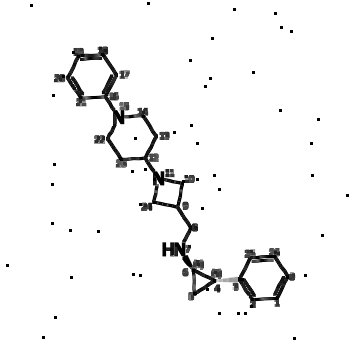 c1ccc([C@@H]2C[C@H]2NCC2CN(C3CCN(c4ccccc4)CC3)C2)cc1